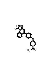 NC(=O)N1CCN(Cc2ccc(-c3cc4n[nH]c(=O)n4c4ccccc34)cc2)CC1